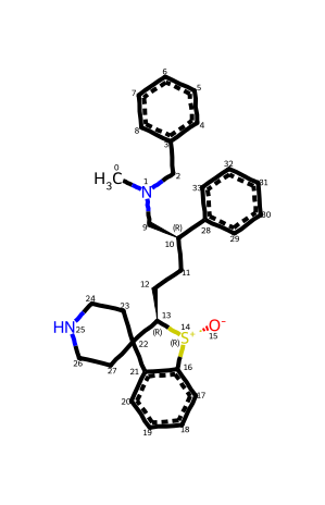 CN(Cc1ccccc1)C[C@H](CC[C@H]1[S@+]([O-])c2ccccc2C12CCNCC2)c1ccccc1